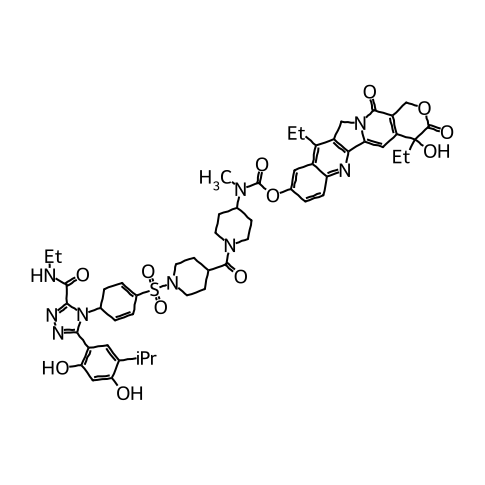 CCNC(=O)c1nnc(-c2cc(C(C)C)c(O)cc2O)n1C1C=CC(S(=O)(=O)N2CCC(C(=O)N3CCC(N(C)C(=O)Oc4ccc5nc6c(c(CC)c5c4)Cn4c-6cc5c(c4=O)COC(=O)C5(O)CC)CC3)CC2)=CC1